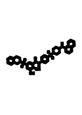 O=C(Nc1ccc(S(=O)(=O)N2CCC(Nc3cccc4ccccc34)CC2)cc1)c1cc(S(=O)(=O)N2CCc3ccccc3C2)cc(O)c1O